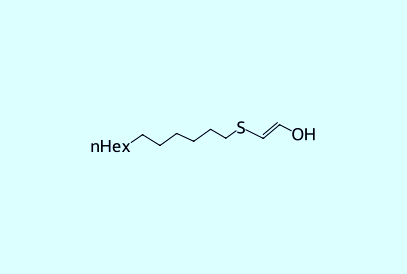 CCCCCCCCCCCCSC=CO